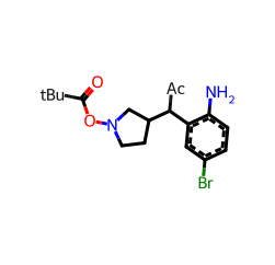 CC(=O)C(c1cc(Br)ccc1N)C1CCN(OC(=O)C(C)(C)C)C1